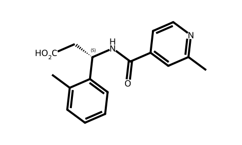 Cc1cc(C(=O)N[C@@H](CC(=O)O)c2ccccc2C)ccn1